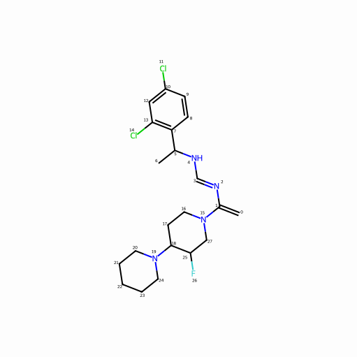 C=C(/N=C/NC(C)c1ccc(Cl)cc1Cl)N1CCC(N2CCCCC2)C(F)C1